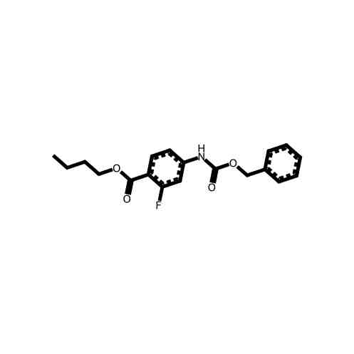 CCCCOC(=O)c1ccc(NC(=O)OCc2ccccc2)cc1F